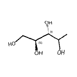 CC(O)[C@@H](O)[C@@H](O)CO